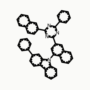 c1ccc(-c2ccc3c4ccccc4n(-c4cc(-c5nc(-c6ccccc6)nc(-c6ccc7ccccc7c6)n5)cc5ccccc45)c3c2)cc1